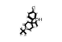 CC(O)C1(c2ccc(Cl)cc2)CCN(C(C)(C)C)CC1